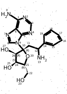 Nc1ncnc2c1ncn2[C@]1(CC(N)c2ccccc2)O[C@H](CO)[C@@H](O)[C@H]1O